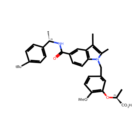 COc1ccc(Cn2c(C)c(C)c3cc(C(=O)N[C@@H](C)c4ccc(C(C)(C)C)cc4)ccc32)cc1O[C@@H](C)C(=O)O